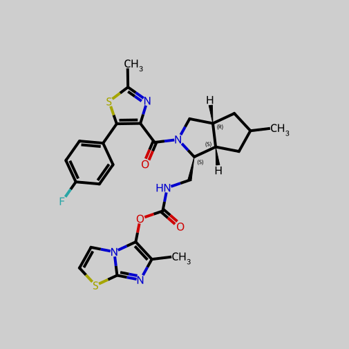 Cc1nc(C(=O)N2C[C@@H]3CC(C)C[C@@H]3[C@H]2CNC(=O)Oc2c(C)nc3sccn23)c(-c2ccc(F)cc2)s1